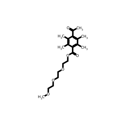 COCCOCCOCCOC(=O)c1c(C)c(C)c(C(C)=O)c(C)c1C